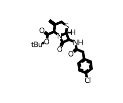 C=C1CS[C@@H]2C(NC(=O)Cc3ccc(Cl)cc3)C(=O)N2C1C(=O)OC(C)(C)C